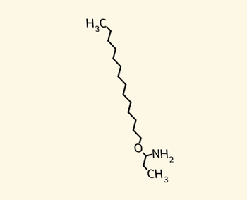 CCCCCCCCCCCCCCOC(N)CC